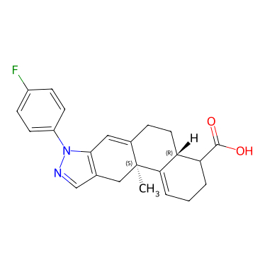 C[C@]12Cc3cnn(-c4ccc(F)cc4)c3C=C1CC[C@H]1C2=CCCC1C(=O)O